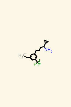 CCc1cc(CCC[C@@H](N)C2CC2)cc(C(F)(F)F)c1